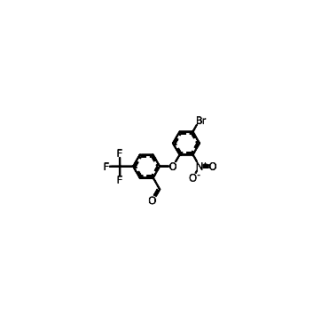 O=Cc1cc(C(F)(F)F)ccc1Oc1ccc(Br)cc1[N+](=O)[O-]